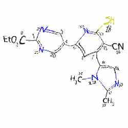 CCOC(=O)c1ncc(-c2cc(-c3cnc(C)n3C)c(C#N)c(S)n2)cn1